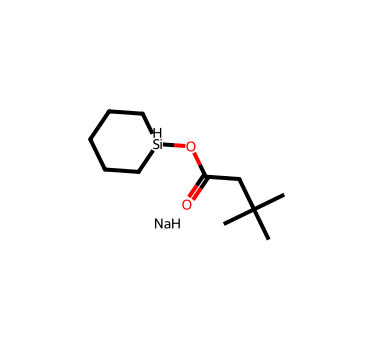 CC(C)(C)CC(=O)O[SiH]1CCCCC1.[NaH]